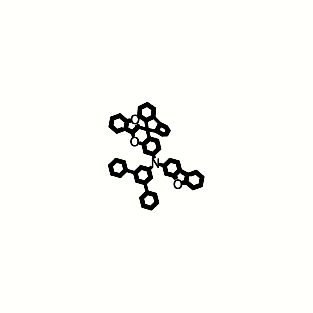 c1ccc(-c2cc(-c3ccccc3)cc(N(c3ccc4c(c3)Oc3c(oc5ccccc35)C43c4ccccc4-c4ccccc43)c3ccc4c(c3)oc3ccccc34)c2)cc1